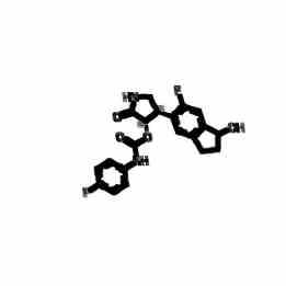 O=C(Nc1ccc(F)cc1)O[C@@H]1C(=O)NC[C@H]1c1cc2c(cc1F)C(O)CC2